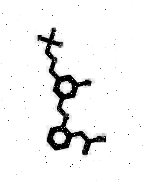 O=C(O)Cc1ccccc1OCc1cc(Br)cc(COCC(F)(F)F)c1